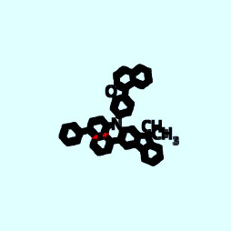 CC1(C)c2ccccc2-c2cc(-c3ccccc3)c(N(c3ccc(-c4ccccc4)cc3)c3ccc4c(c3)oc3ccc5ccccc5c34)cc21